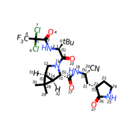 CC(C)(C)[C@H](NC(=O)C(Cl)(Cl)C(F)(F)F)C(=O)N1C[C@H]2[C@@H]([C@H]1C(=O)N[C@H](C#N)C[C@@H]1CCNC1=O)C2(C)C